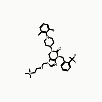 Cc1cccc(F)c1N1CCC(N2Cc3c(ncn3COCC[Si](C)(C)C)N(Cc3ccccc3C(F)(F)F)C2=O)CC1